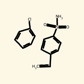 C=Cc1ccc(S(N)(=O)=O)cc1.Clc1ccccc1